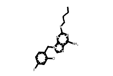 CCCCSc1nc(N)c2ncn(Cc3ccc(F)cc3Cl)c2n1